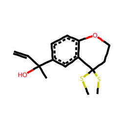 C=CC(C)(O)c1ccc2c(c1)C(SC)(SC)CCO2